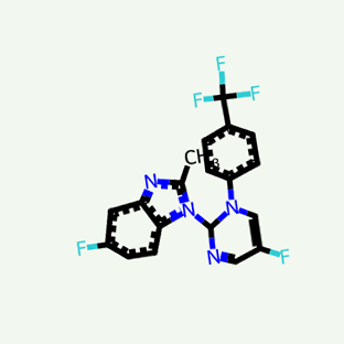 Cc1nc2cc(F)ccc2n1C1N=CC(F)=CN1c1ccc(C(F)(F)F)cc1